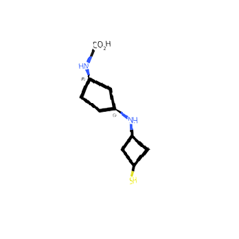 O=C(O)N[C@@H]1CC[C@H](NC2CC(S)C2)C1